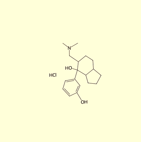 CN(C)CC1CCC2CCCC2C1(O)c1cccc(O)c1.Cl